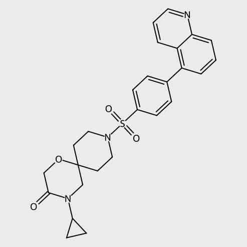 O=C1COC2(CCN(S(=O)(=O)c3ccc(-c4cccc5ncccc45)cc3)CC2)CN1C1CC1